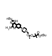 CCCCc1nc2c(N)nc3cc(N4CCN(COP(C)OCC(C)(C)C(=O)OC(C)(C)C)CC4)ccc3c2[nH]1